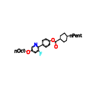 CCCCCCCCOc1cnc(-c2ccc(OC(=O)C3CCC(CCCCC)CC3)cc2)c(F)c1